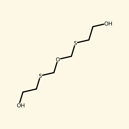 OCCSCOCSCCO